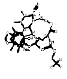 COc1c(C)cc(C)c([C@@H]2C3[C@H](c4cc5c(c(C)c4OC(C)=O)OCO5)SC[C@H](NC(=O)OCC(Cl)(Cl)Cl)C(=O)OC[C@@H](C)N3[C@@H](C#N)[C@H](C)N2C)c1O